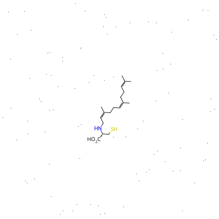 CC(C)=CCCC(C)=CCCC(C)=CCN[C@@H](CS)C(=O)O